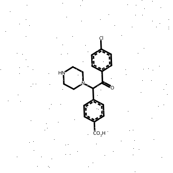 O=C(O)c1ccc(C(C(=O)c2ccc(Cl)cc2)N2CCNCC2)cc1